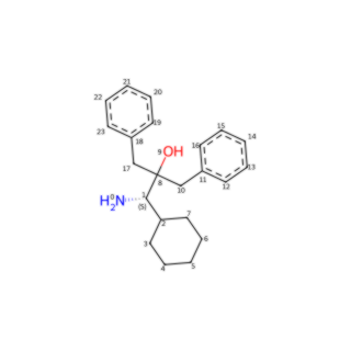 N[C@@H](C1CCCCC1)C(O)(Cc1ccccc1)Cc1ccccc1